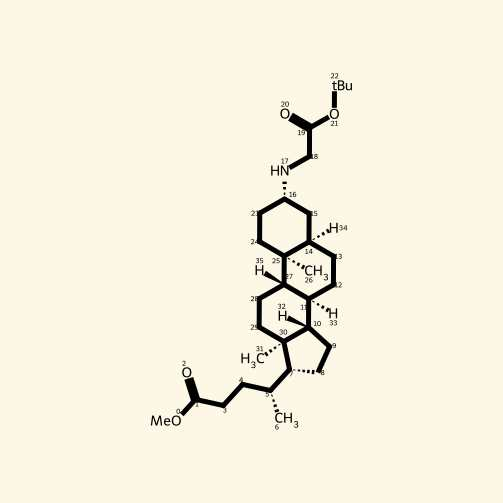 COC(=O)CC[C@@H](C)[C@H]1CC[C@H]2[C@@H]3CC[C@@H]4C[C@@H](NCC(=O)OC(C)(C)C)CC[C@]4(C)[C@H]3CC[C@]12C